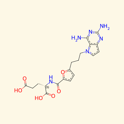 Nc1nc(N)c2c(ccn2CCCc2ccc(C(=O)N[C@@H](CCC(=O)O)C(=O)O)o2)n1